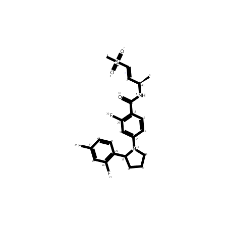 C[C@H](/C=C/S(C)(=O)=O)NC(=O)c1ccc(N2CCCC2c2ccc(F)cc2F)cc1F